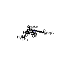 CCCCCCCC(=O)CCCCCC/C=C/[C@H](C(=O)N[C@@H](Cc1ccc(OCC=C(C)C)cc1)C(=O)OC)[C@@](O)(CC(=O)CO)C(=O)O